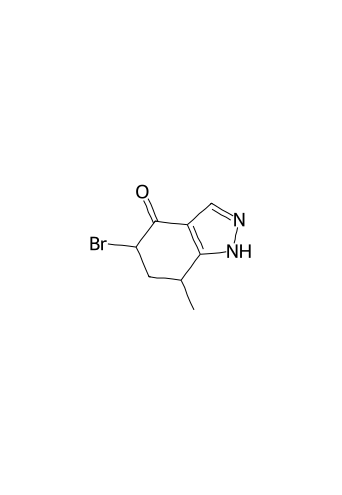 CC1CC(Br)C(=O)c2cn[nH]c21